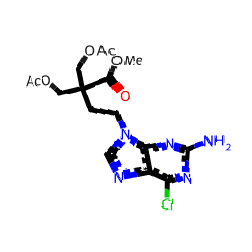 COC(=O)C(CCn1cnc2c(Cl)nc(N)nc21)(COC(C)=O)COC(C)=O